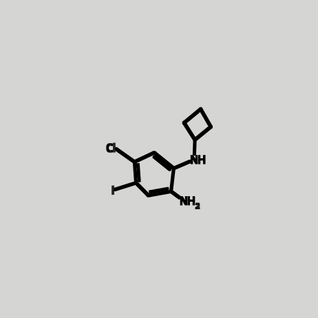 Nc1cc(I)c(Cl)cc1NC1CCC1